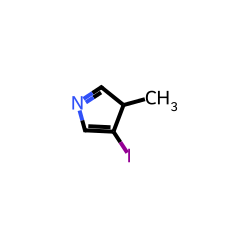 CC1C=NC=C1I